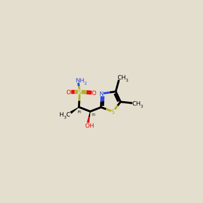 Cc1nc([C@@H](O)[C@@H](C)S(N)(=O)=O)sc1C